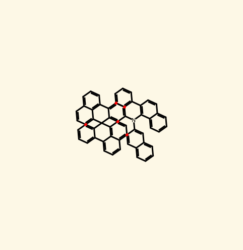 c1ccc(-c2ccc3ccccc3c2N(c2ccc3c(c2)C2(c4ccccc4-c4cccc5cccc2c45)c2cccc4cccc-3c24)c2ccc3ccccc3c2)cc1